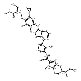 COC(=O)[C@@H](CO)NCc1c(C2CC2)cc(OC2CCc3c(-c4cccc(NC(=O)c5nc6c(n5C)CCN(C(C)CO)C6)c4Cl)cccc32)c(Cl)c1F